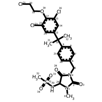 CN1C(=O)N(Cc2ccc(C(C)(C)c3cc(Cl)c(OCCCl)c(Cl)c3)cc2)C(=O)C1NS(C)(=O)=O